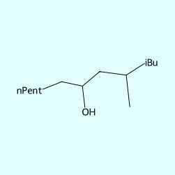 CCCCCCC(O)CC(C)C(C)CC